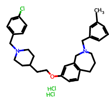 Cc1cccc(CN2CCCc3ccc(OCCC4CCN(Cc5ccc(Cl)cc5)CC4)cc3C2)c1.Cl.Cl